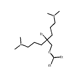 CCC(CC)OCC(CC)(CCCN(C)C)CCCN(C)C